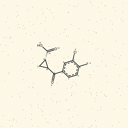 O=C(c1ccc(F)c(Cl)c1)C1C[C@@H]1C(=O)O